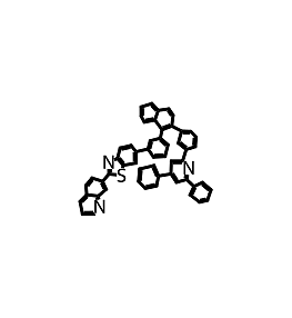 c1ccc(-c2cc(-c3ccccc3)nc(-c3cccc(-c4ccc5ccccc5c4-c4cccc(-c5ccc6nc(-c7ccc8cccnc8c7)sc6c5)c4)c3)c2)cc1